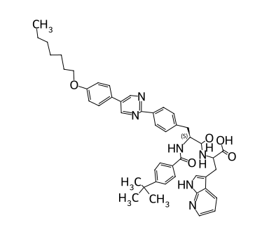 CCCCCCCOc1ccc(-c2cnc(-c3ccc(C[C@H](NC(=O)c4ccc(C(C)(C)C)cc4)C(O)NC(Cc4c[nH]c5ncccc45)C(=O)O)cc3)nc2)cc1